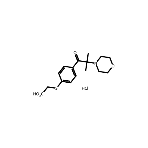 CC(C)(C(=O)c1ccc(SCC(=O)O)cc1)N1CCOCC1.Cl